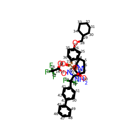 NC1CC2CCC(C1)N2C(=O)[C@H](N(OC(=O)C(F)(F)F)S(=O)(=O)c1ccc(OCC2CCCCC2)cc1)C(F)(F)c1ccc(-c2ccccc2)cc1